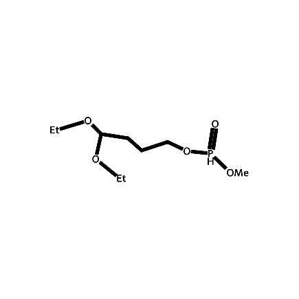 CCOC(CCCO[PH](=O)OC)OCC